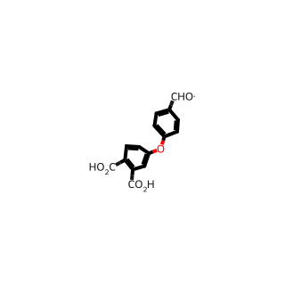 O=[C]c1ccc(Oc2ccc(C(=O)O)c(C(=O)O)c2)cc1